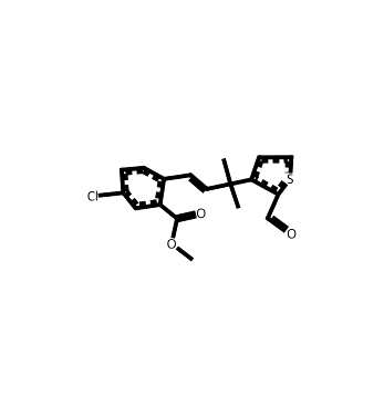 COC(=O)c1cc(Cl)ccc1C=CC(C)(C)c1ccsc1C=O